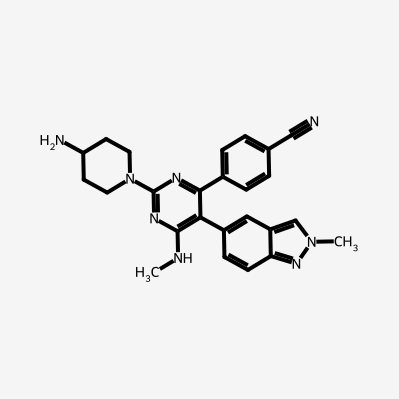 CNc1nc(N2CCC(N)CC2)nc(-c2ccc(C#N)cc2)c1-c1ccc2nn(C)cc2c1